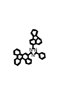 c1ccc(-c2nc(-c3ccc4c5c(cccc35)-c3ccccc3-4)nc(-c3cc4c5ccccc5c5ccccc5c4c4ccccc34)n2)cc1